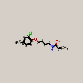 C=CC(=O)NCCCCOc1ccc(C(C)(C)C)cc1Cl